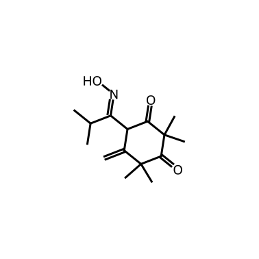 C=C1C(/C(=N/O)C(C)C)C(=O)C(C)(C)C(=O)C1(C)C